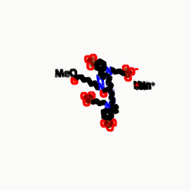 COC(=O)CCCCCCNC(=O)C(=C\C=C\C1=[N+](CCCCS(=O)(=O)[O-])c2ccc(S(=O)(=O)[O-])cc2C1(C)C)/C=C/C=C1/N(CCCCS(=O)(=O)[O-])c2ccc(S(=O)(=O)[O-])cc2C1(C)C.[Na+].[Na+].[Na+]